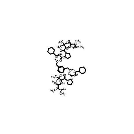 CN[C@@H](C)C(=O)N[C@H](C(=O)N1CCC[C@H]1C(=O)N[C@H](COCc1cccc(COC[C@@H](NC(=O)[C@@H]2CCCN2C(=O)[C@@H](NC(=O)[C@H](C)N(C)Cl)C(C)(C)C)C2CCCCC2)c1)C1CCCCC1)C(C)(C)C